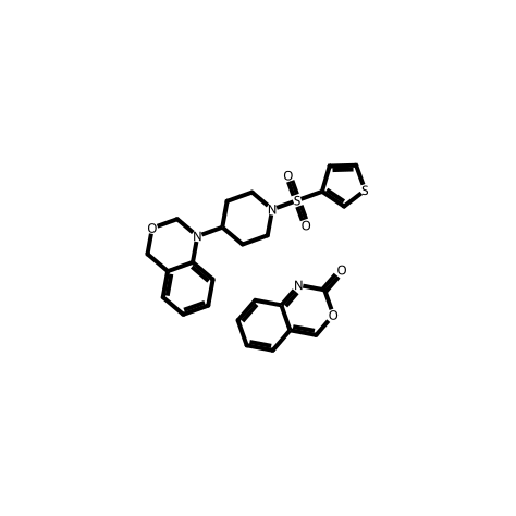 O=S(=O)(c1ccsc1)N1CCC(N2COCc3ccccc32)CC1.O=c1nc2ccccc2co1